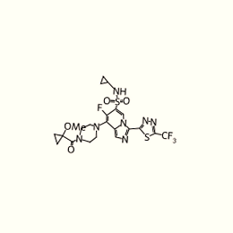 COC1(C(=O)N2CCN(c3c(F)c(S(=O)(=O)NC4CC4)cn4c(-c5nnc(C(F)(F)F)s5)ncc34)CC2)CC1